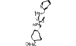 C[C@H](NCc1ccccn1)C(=O)NC[C@H]1CC[C@H](C=O)CC1